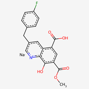 COC(=O)c1cc(C(=O)O)c2cc(Cc3ccc(F)cc3)cnc2c1O.[Na]